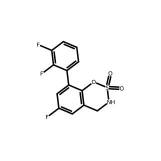 O=S1(=O)NCc2cc(F)cc(-c3cccc(F)c3F)c2O1